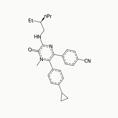 CCC[C@H](CC)CNc1nc(-c2ccc(C#N)cc2)c(-c2ccc(C3CC3)cc2)n(C)c1=O